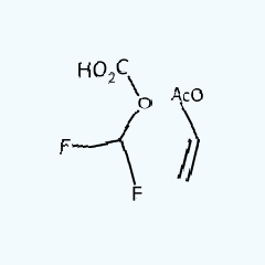 C=COC(C)=O.O=C(O)OC(F)F